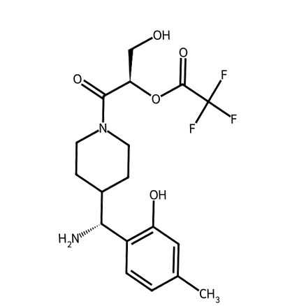 Cc1ccc([C@H](N)C2CCN(C(=O)[C@@H](CO)OC(=O)C(F)(F)F)CC2)c(O)c1